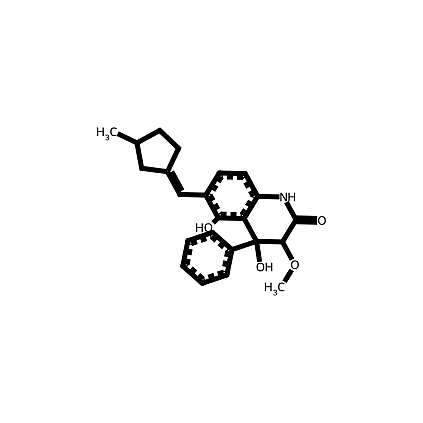 COC1C(=O)Nc2ccc(/C=C3\CCC(C)C3)c(O)c2C1(O)c1ccccc1